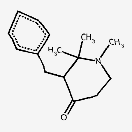 CN1CCC(=O)C(Cc2ccccc2)C1(C)C